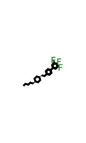 CCCCC[C@H]1CC[C@H](CCc2ccc(-c3cc(F)c(F)c(F)c3)cc2)CC1